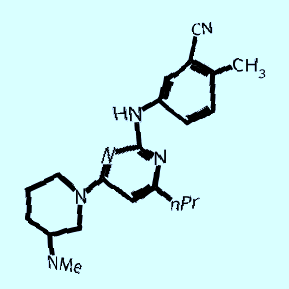 CCCc1cc(N2CCCC(NC)C2)nc(Nc2ccc(C)c(C#N)c2)n1